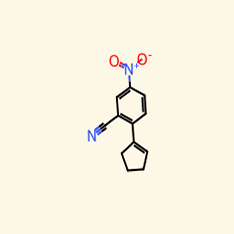 N#Cc1cc([N+](=O)[O-])ccc1C1=CCCC1